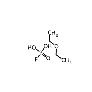 CCOCC.O=P(O)(O)F